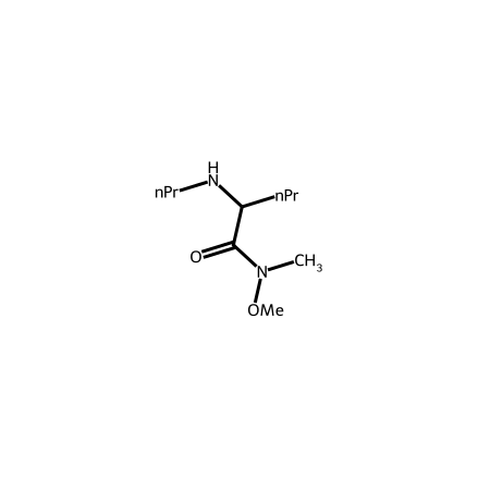 CCCNC(CCC)C(=O)N(C)OC